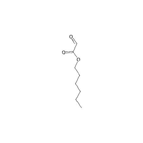 CCCCCCOC(=O)C=O